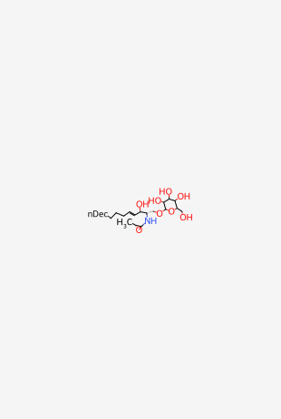 CCCCCCCCCCCCC/C=C/[C@@H](O)[C@H](COC1OC(CO)C(O)C(O)C1O)NC1OC1C